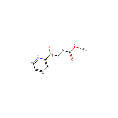 COC(=O)CC[S+]([O-])c1ccccn1